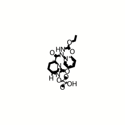 CCOC(=O)NN(C(=O)[C@@H]1CC[C@@H]2CN1C(=O)N2OS(=O)(=O)O)[n+]1ccccc1